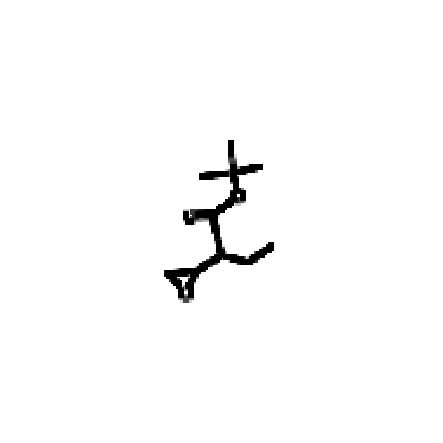 CCC(C(=O)OC(C)(C)C)C1CO1